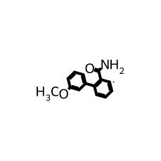 COc1cccc(-c2ccc[c]c2C(N)=O)c1